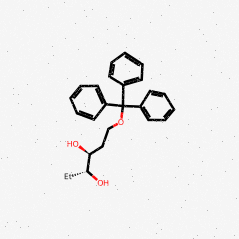 CC[C@@H](O)[C@@H](O)CCOC(c1ccccc1)(c1ccccc1)c1ccccc1